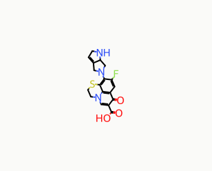 O=C(O)c1cn2c3c(c(N4CC5=CCNC5C4)c(F)cc3c1=O)SCC2